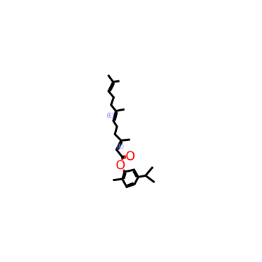 CC(C)=CCC/C(C)=C/CC/C(C)=C/C(=O)Oc1cc(C(C)C)ccc1C